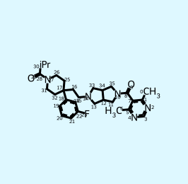 Cc1ncnc(C)c1C(=O)N1CC2CN(CCC3(c4cccc(F)c4)CCN(C(=O)C(C)C)CC3)CC2C1